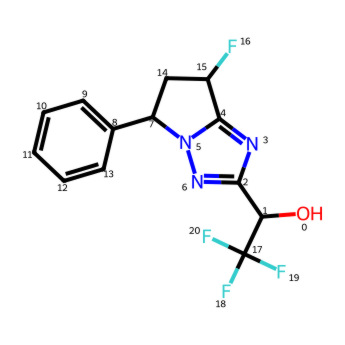 OC(c1nc2n(n1)C(c1ccccc1)CC2F)C(F)(F)F